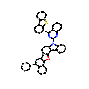 c1ccc(-c2cc3c4ccc5c(c6ccccc6n5-c5nc(-c6cccc7c6sc6ccccc67)c6ccccc6n5)c4oc3c3ccccc23)cc1